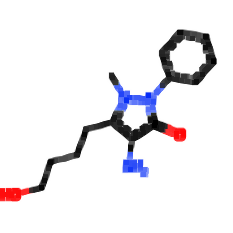 Cn1c(CCCCO)c(N)c(=O)n1-c1ccccc1